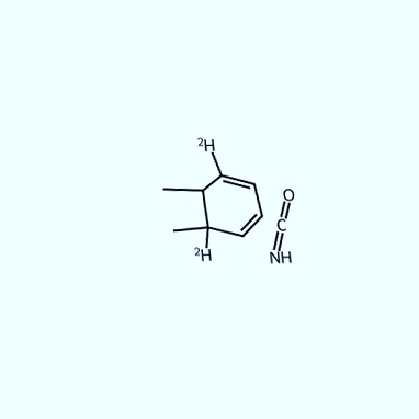 N=C=O.[2H]C1=CC=CC([2H])(C)C1C